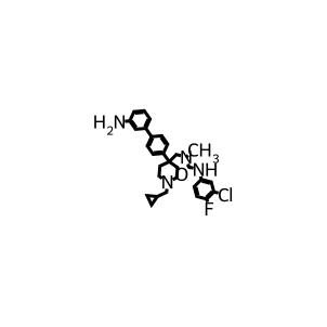 CN(CC1(c2ccc(-c3cccc(N)c3)cc2)CCN(CC2CC2)CC1)C(=O)Nc1ccc(F)c(Cl)c1